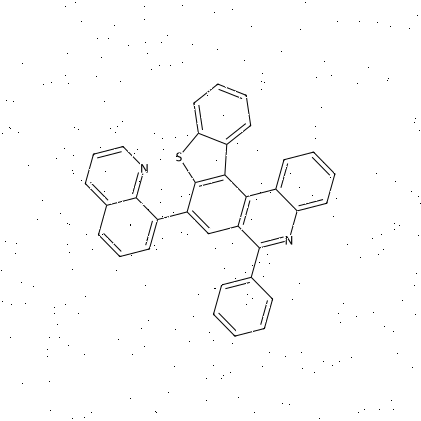 c1ccc(-c2nc3ccccc3c3c2cc(-c2cccc4cccnc24)c2sc4ccccc4c23)cc1